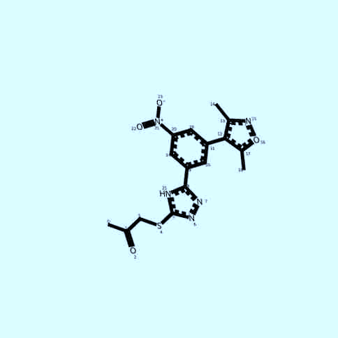 CC(=O)CSc1nnc(-c2cc(-c3c(C)noc3C)cc([N+](=O)[O-])c2)[nH]1